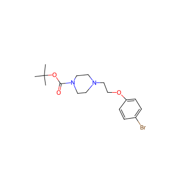 CC(C)(C)OC(=O)N1CCN(CCOc2ccc(Br)cc2)CC1